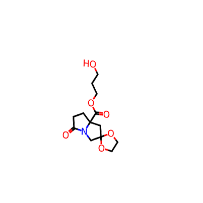 O=C1CCC2(C(=O)OCCCO)CC3(CN12)OCCO3